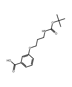 CC(C)(C)OC(=O)NCCCOc1cccc(C(=O)O)c1